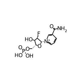 NC(=O)c1ccc[n+]([C@@H]2O[C@H](COP(=O)(O)O)[C@@H](O)[C@H]2F)c1